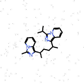 Cc1nc(C(C)CCC(C)c2nc(C(C)C)n3ccccc23)c2ccccn12